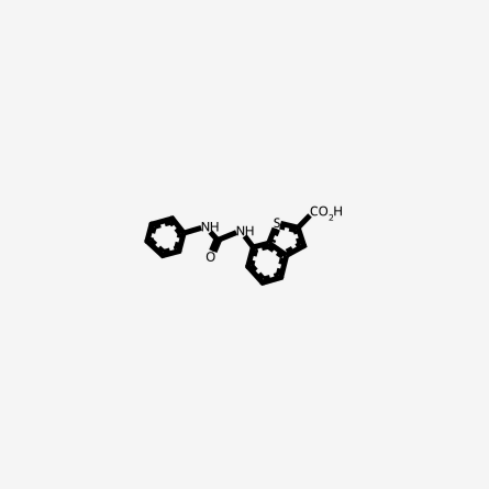 O=C(Nc1ccccc1)Nc1cccc2cc(C(=O)O)sc12